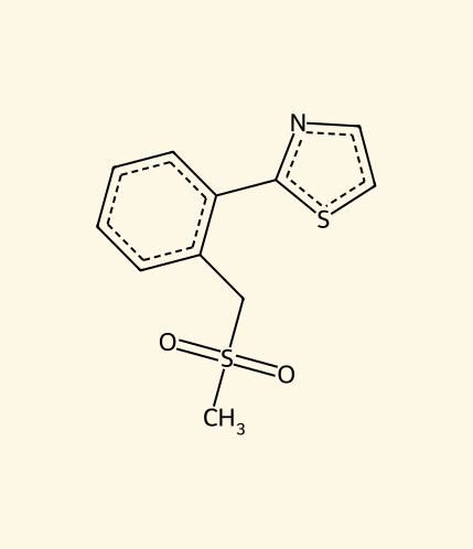 CS(=O)(=O)Cc1ccccc1-c1nccs1